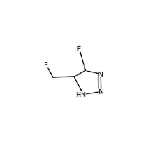 FCC1NN=NC1F